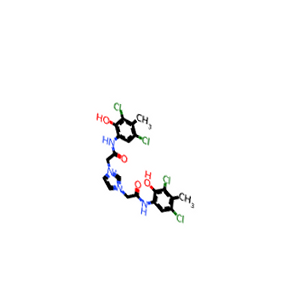 Cc1c(Cl)cc(NC(=O)Cn2cc[n+](CC(=O)Nc3cc(Cl)c(C)c(Cl)c3O)c2)c(O)c1Cl